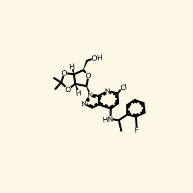 CC(Nc1cc(Cl)nc2c1cnn2[C@@H]1O[C@H](CO)[C@H]2OC(C)(C)O[C@H]21)c1ccccc1F